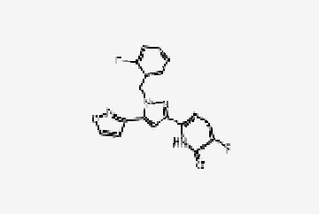 O=c1[nH]c(-c2cc(-c3ccon3)n(Cc3ccccc3F)n2)ccc1F